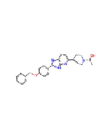 CB(O)N1CC=C(c2ccc3nc(-c4ccc(OCc5ccccc5)cc4)[nH]c3n2)CC1